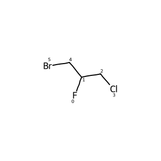 FC(CCl)CBr